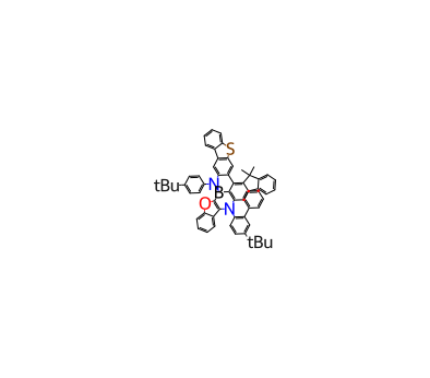 CC(C)(C)c1ccc(N2B3c4oc5ccccc5c4N(c4ccc(C(C)(C)C)cc4-c4ccccc4)c4cc5c(c(c43)-c3cc4sc6ccccc6c4cc32)C(C)(C)c2ccccc2-5)cc1